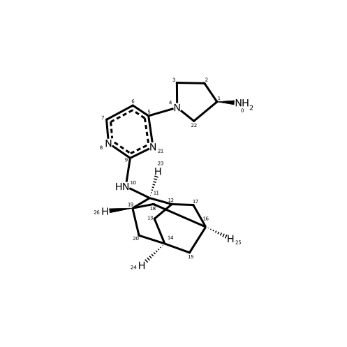 N[C@@H]1CCN(c2ccnc(N[C@H]3C4C[C@H]5C[C@H](C4)C[C@@H]3C5)n2)C1